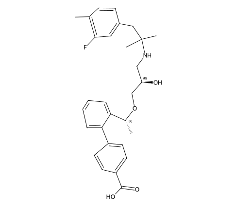 Cc1ccc(CC(C)(C)NC[C@@H](O)CO[C@H](C)c2ccccc2-c2ccc(C(=O)O)cc2)cc1F